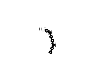 Cc1ccc(-c2nnc(-c3ccc(-c4ccc(-c5nnc(-c6ccc(-c7ccccc7)cc6)o5)cc4)cc3)o2)cc1